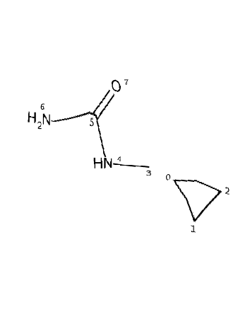 C1CC1.CNC(N)=O